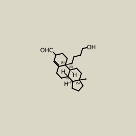 C[C@@]12CCC[C@H]1[C@@H]1CCC3=CC(C=O)CC[C@]3(CCCCO)[C@H]1CC2